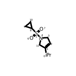 CC(C)C1=CCN(S(=O)(=O)C2CC2)C1